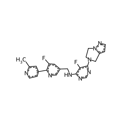 Cc1cc(-c2ncc(CNc3ncnc(N4CCn5nccc5C4)c3F)cc2F)ccn1